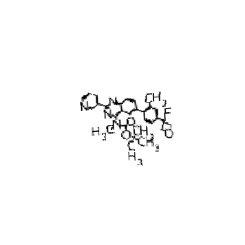 Cc1cc(C2(F)COC2)ccc1-c1ccc2nc(-c3cccnc3)nc(N(C)C(=O)OC(C)(C)C)c2c1